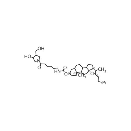 CC(C)CCCC(C)[C@H]1CCC2C3CCC4C[C@@H](OC(=O)NCCCCCC(=O)N5CC(O)C(CO)C5)CC[C@]4(C)C3CC[C@@]21C